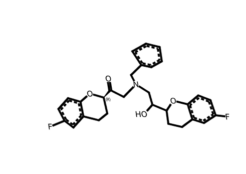 O=C(CN(Cc1ccccc1)CC(O)C1CCc2cc(F)ccc2O1)[C@H]1CCc2cc(F)ccc2O1